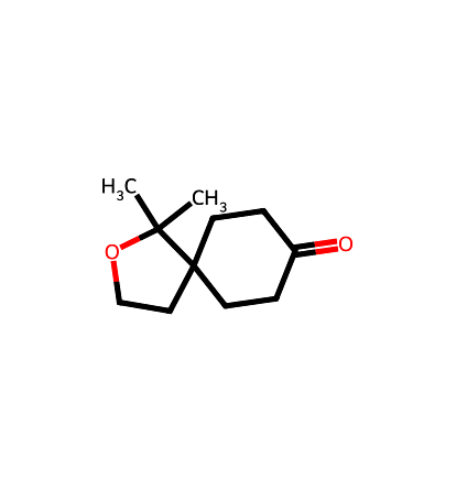 CC1(C)OCCC12CCC(=O)CC2